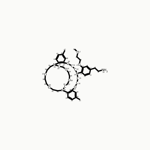 COCCOc1cc(CCN)ccc1N1CCOc2cc(C)ccc2N2CCOCCOCCN(CCOCCOCC2)c2ccc(C)cc2OCC1